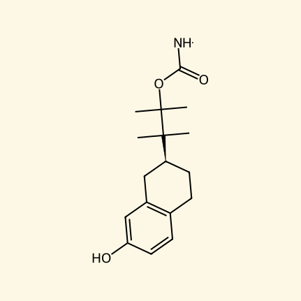 CC(C)(OC([NH])=O)C(C)(C)[C@H]1CCc2ccc(O)cc2C1